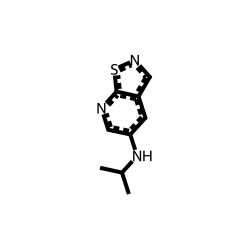 CC(C)Nc1cnc2sncc2c1